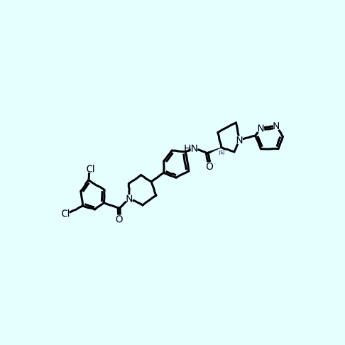 O=C(Nc1ccc(C2CCN(C(=O)c3cc(Cl)cc(Cl)c3)CC2)cc1)[C@H]1CCN(c2cccnn2)C1